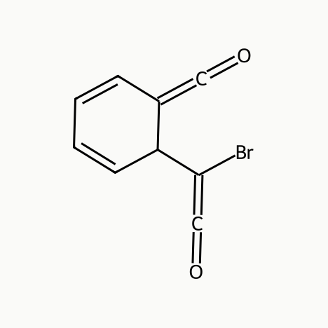 O=C=C(Br)C1C=CC=CC1=C=O